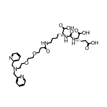 O=C(O)CC[C@H](NC(=O)N[C@H](CCCCNC(=O)CCOCCOCCN(Cc1ccccn1)Cc1ccccn1)C(=O)O)C(=O)O